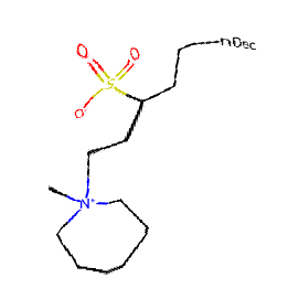 CCCCCCCCCCCCC(CC[N+]1(C)CCCCC1)S(=O)(=O)[O-]